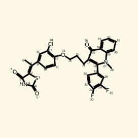 CC(=C1SC(=O)NC1=O)c1ccc(OCCCc2c(-c3ccc(F)c(F)c3)n(C)c3ccccc3c2=O)c(Cl)c1